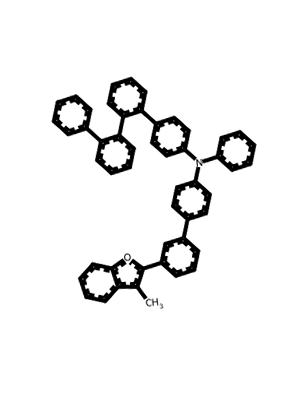 Cc1c(-c2cccc(-c3ccc(N(c4ccccc4)c4ccc(-c5ccccc5-c5ccccc5-c5ccccc5)cc4)cc3)c2)oc2ccccc12